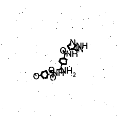 COc1ccc(S(=O)(=O)NCC(N)c2ccc(C(=O)Nc3ccnc4[nH]ncc34)cc2)cc1